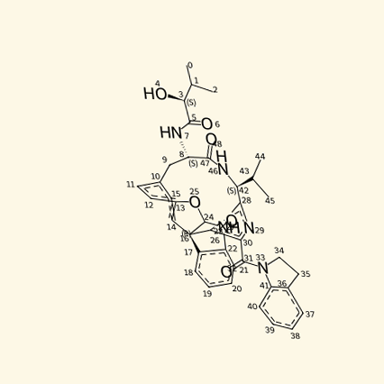 CC(C)[C@H](O)C(=O)N[C@H]1Cc2ccc3c(c2)[C@@]2(c4ccccc4NC2O3)c2oc(nc2C(=O)N2CCc3ccccc32)[C@H](C(C)C)NC1=O